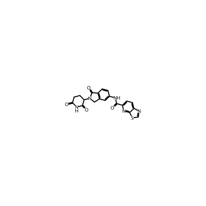 O=C1CCC(N2Cc3cc(NC(=O)c4ccc5ncsc5n4)ccc3C2=O)C(=O)N1